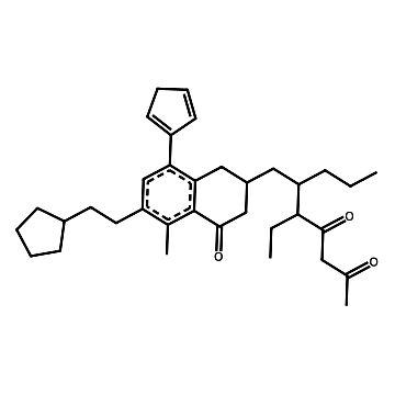 CCCC(CC1CC(=O)c2c(C)c(CCC3CCCC3)cc(C3=CCC=C3)c2C1)C(CC)C(=O)CC(C)=O